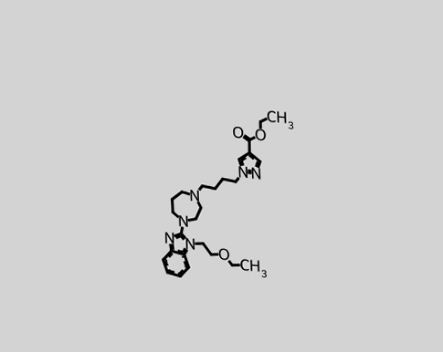 CCOCCn1c(N2CCCN(CCCCn3cc(C(=O)OCC)cn3)CC2)nc2ccccc21